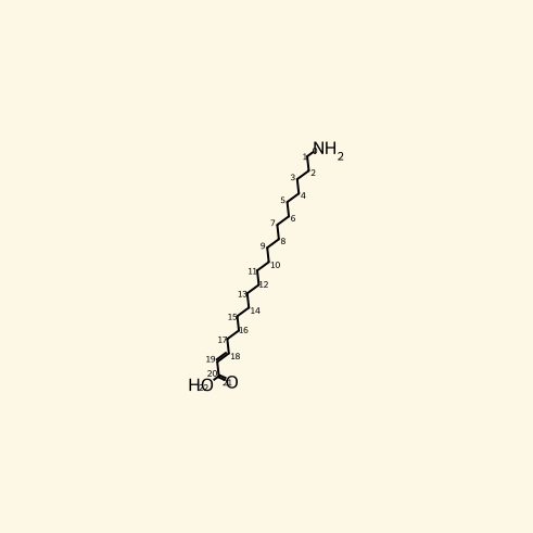 NCCCCCCCCCCCCCCCCCC=CC(=O)O